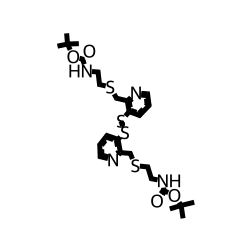 CC(C)(C)OC(=O)NCCSCc1ncccc1SSc1cccnc1CSCCNC(=O)OC(C)(C)C